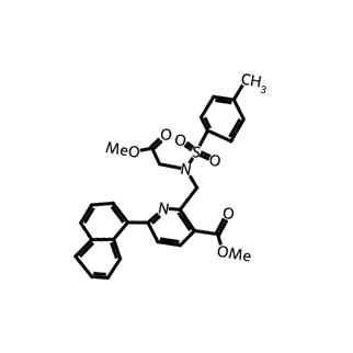 COC(=O)CN(Cc1nc(-c2cccc3ccccc23)ccc1C(=O)OC)S(=O)(=O)c1ccc(C)cc1